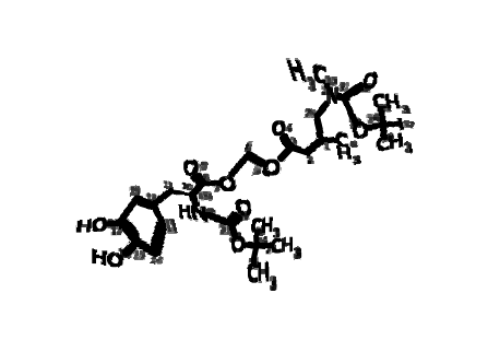 CC(CC(=O)OCOC(=O)[C@H](Cc1ccc(O)c(O)c1)NC(=O)OC(C)(C)C)CN(C)C(=O)OC(C)(C)I